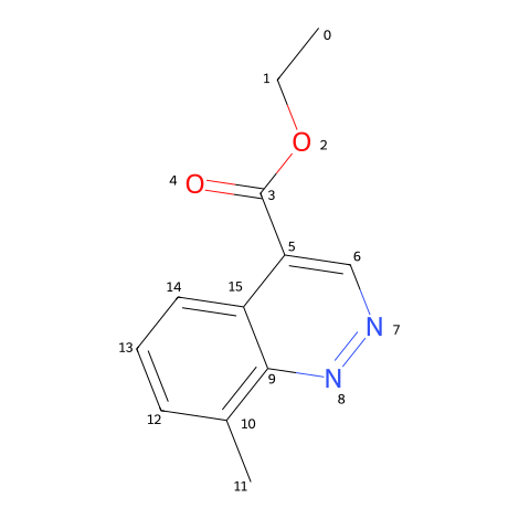 CCOC(=O)c1cnnc2c(C)cccc12